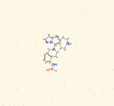 CC(=O)Nc1cccc2c1CCN(c1c3c(nc4ccnn14)CCNCC3)C2